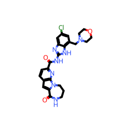 O=C(Nc1nc2cc(Cl)cc(CN3CCOCC3)c2[nH]1)c1ccc2cc3n(c2n1)CCCNC3=O